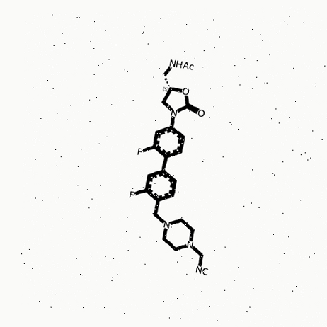 [C-]#[N+]CN1CCN(Cc2ccc(-c3ccc(N4C[C@H](CNC(C)=O)OC4=O)cc3F)cc2F)CC1